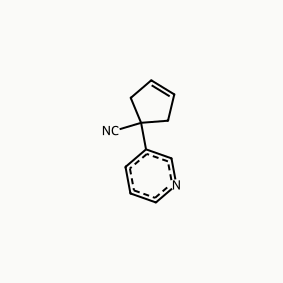 N#CC1(c2cccnc2)CC=CC1